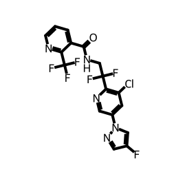 O=C(NCC(F)(F)c1ncc(-n2cc(F)cn2)cc1Cl)c1cccnc1C(F)(F)F